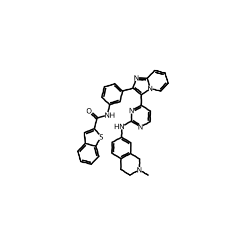 CN1CCc2ccc(Nc3nccc(-c4c(-c5cccc(NC(=O)c6cc7ccccc7s6)c5)nc5ccccn45)n3)cc2C1